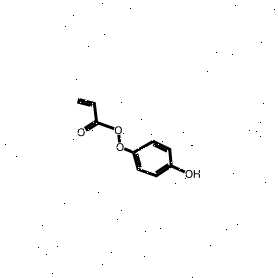 C=CC(=O)OOc1ccc(O)cc1